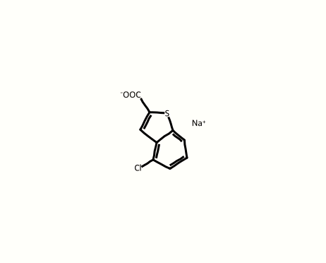 O=C([O-])c1cc2c(Cl)cccc2s1.[Na+]